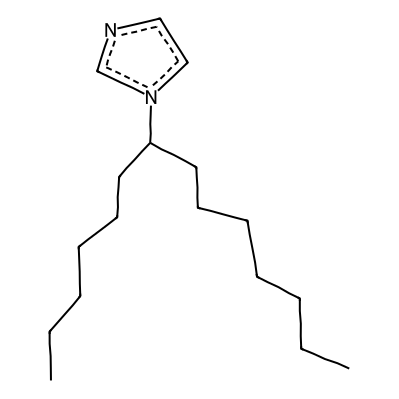 CCCCCCCC(CCCCCC)n1ccnc1